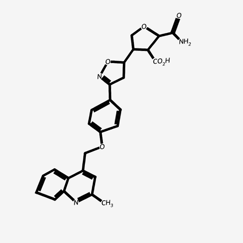 Cc1cc(COc2ccc(C3=NOC(C4COC(C(N)=O)C4C(=O)O)C3)cc2)c2ccccc2n1